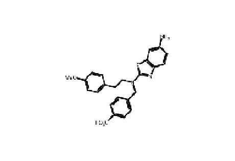 COc1ccc(CCN(Cc2ccc(C(=O)O)cc2)c2nc3ccc(N)cc3s2)cc1